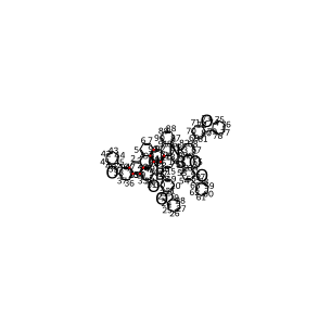 c1ccc(-c2ccccc2N2c3cc4c(cc3B3c5ccc6c(oc7ccccc76)c5Oc5cc(-c6ccc7oc8ccccc8c7c6)cc2c53)B2c3ccc5c(oc6ccccc65)c3Oc3cc(-c5ccc6oc7ccccc7c6c5)cc(c32)N4c2ccccc2-c2ccccc2)cc1